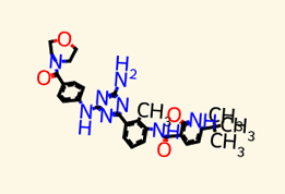 Cc1c(NC(=O)c2ccc(C(C)(C)C)[nH]c2=O)cccc1-c1nc(N)nc(Nc2ccc(C(=O)N3CCOCC3)cc2)n1